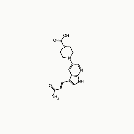 NC(=O)/C=C/c1c[nH]c2ncc(N3CCN(C(=O)O)CC3)cc12